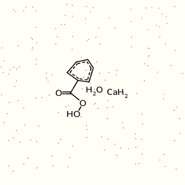 O.O=C(OO)c1ccccc1.[CaH2]